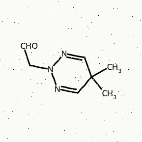 CC1(C)C=NN(CC=O)N=C1